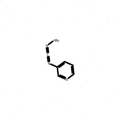 CCCCN=C=Nc1cccnc1